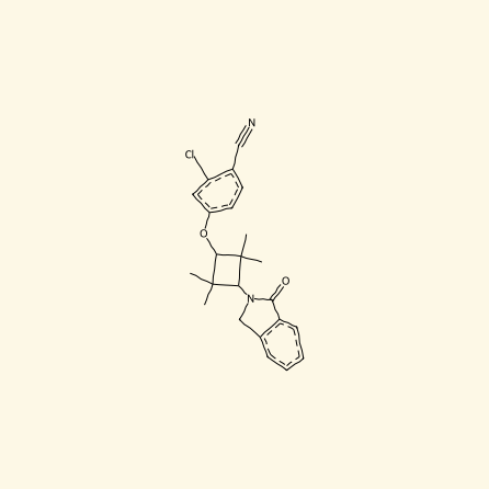 CC1(C)C(Oc2ccc(C#N)c(Cl)c2)C(C)(C)C1N1Cc2ccccc2C1=O